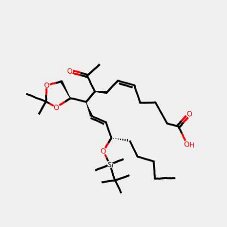 CCCCC[C@@H](/C=C/[C@@H]([C@@H]1COC(C)(C)O1)[C@H](C/C=C\CCCC(=O)O)C(C)=O)O[Si](C)(C)C(C)(C)C